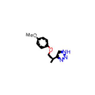 COc1ccc(OCC(C)c2c[nH]nn2)cc1